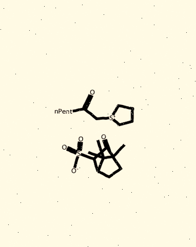 CC12CCC(C(S(=O)(=O)[O-])C1=O)C2(C)C.CCCCCC(=O)C[S+]1CCCC1